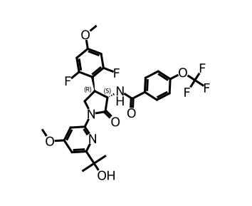 COc1cc(N2C[C@@H](c3c(F)cc(OC)cc3F)[C@H](NC(=O)c3ccc(OC(F)(F)F)cc3)C2=O)nc(C(C)(C)O)c1